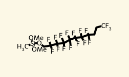 CO[Si](C)(OC)OCC(F)(F)C(F)(F)C(F)(F)C(F)(F)C(F)(F)C(F)(F)C(F)(F)CCC(F)(F)F